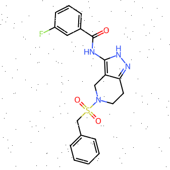 O=C(Nc1[nH]nc2c1CN(S(=O)(=O)Cc1ccccc1)CC2)c1cccc(F)c1